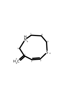 C=C1/C=C\SCCCNC1